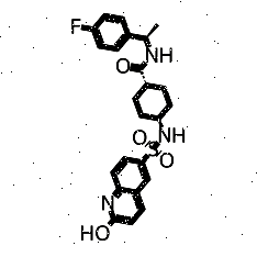 C[C@@H](NC(=O)[C@H]1CC[C@H](NS(=O)(=O)c2ccc3nc(O)ccc3c2)CC1)c1ccc(F)cc1